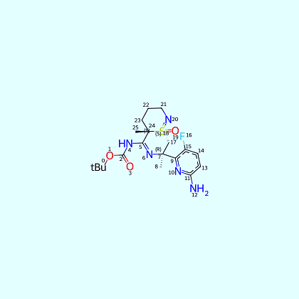 CC(C)(C)OC(=O)NC1=N[C@](C)(c2nc(N)ccc2F)C[S@@]2(=O)=NCCC[C@@]12C